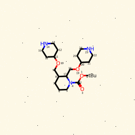 CC(C)(C)OC(=O)N1CCCC(COC2CCNCC2)C1COC1CCNCC1